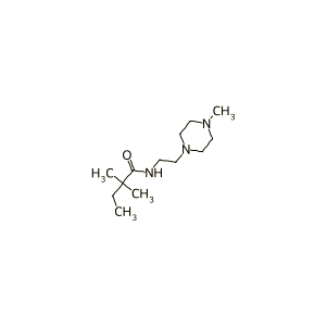 CCC(C)(C)C(=O)NCCN1CCN(C)CC1